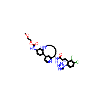 COCCOC(=O)Nc1ccc2c(c1)NCCCCC[C@H](NC(=O)/C=C/c1c(-n3cnnn3)ccc(Cl)c1F)c1cc-2ccn1